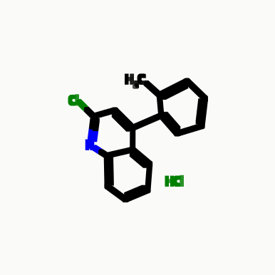 Cc1ccccc1-c1cc(Cl)nc2ccccc12.Cl